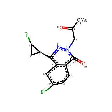 COC(=O)Cn1nc([C@H]2C[C@H]2F)c2cc(Br)ccc2c1=O